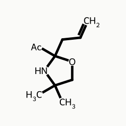 C=CCC1(C(C)=O)NC(C)(C)CO1